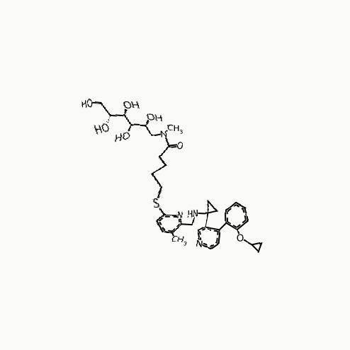 Cc1ccc(SCCCCC(=O)N(C)C[C@H](O)[C@@H](O)[C@H](O)[C@H](O)CO)nc1CNC1(c2cnccc2-c2ccccc2OC2CC2)CC1